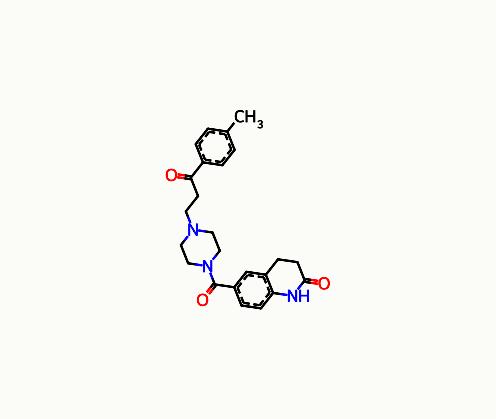 Cc1ccc(C(=O)CCN2CCN(C(=O)c3ccc4c(c3)CCC(=O)N4)CC2)cc1